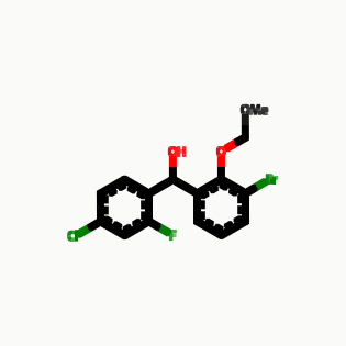 COCOc1c(Br)cccc1C(O)c1ccc(Cl)cc1F